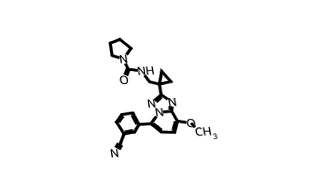 COc1ccc(-c2cccc(C#N)c2)n2nc(C3(CNC(=O)N4CCCC4)CC3)nc12